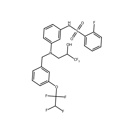 O=S(=O)(Nc1cccc(N(Cc2cccc(OC(F)(F)C(F)F)c2)CC(O)C(F)(F)F)c1)c1ccccc1F